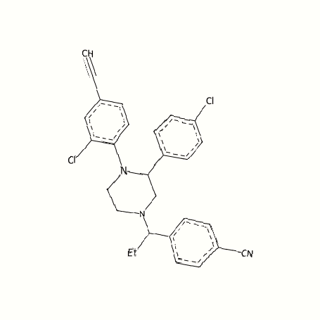 C#Cc1ccc(N2CCN(C(CC)c3ccc(C#N)cc3)CC2c2ccc(Cl)cc2)c(Cl)c1